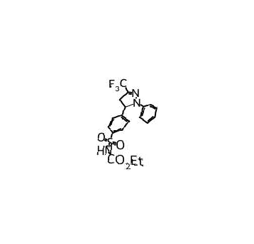 CCOC(=O)NS(=O)(=O)c1ccc(C2CC(C(F)(F)F)=NN2c2ccccc2)cc1